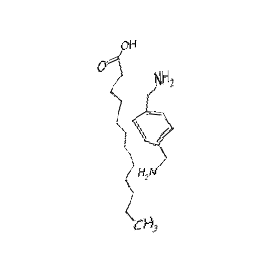 CCCCCCCCCCCC(=O)O.NCc1ccc(CN)cc1